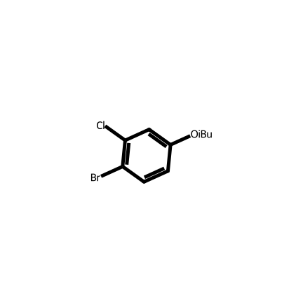 CC(C)COc1ccc(Br)c(Cl)c1